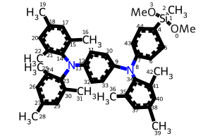 CO[Si](C)(OC)c1ccc(N(c2ccc(N(c3c(C)cc(C)cc3C)c3c(C)cc(C)cc3C)cc2)c2c(C)cc(C)cc2C)cc1